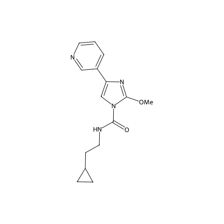 COc1nc(-c2cccnc2)cn1C(=O)NCCC1CC1